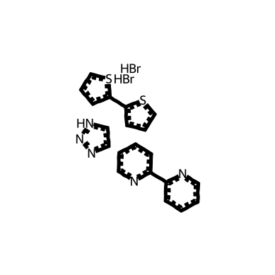 Br.Br.c1c[nH]nn1.c1ccc(-c2ccccn2)nc1.c1csc(-c2cccs2)c1